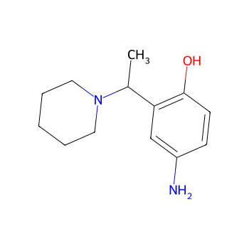 CC(c1cc(N)ccc1O)N1CCCCC1